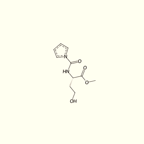 COC(=O)[C@H](CCO)NC(=O)n1cccc1